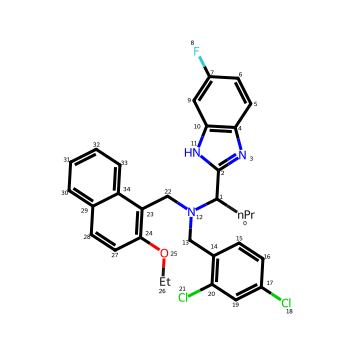 CCCC(c1nc2ccc(F)cc2[nH]1)N(Cc1ccc(Cl)cc1Cl)Cc1c(OCC)ccc2ccccc12